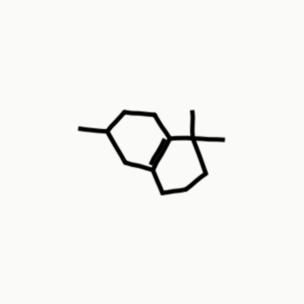 CC1CCC2=C(CCCC2(C)C)C1